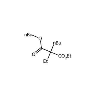 CCCCOC(=O)C(CC)(CCCC)C(=O)OCC